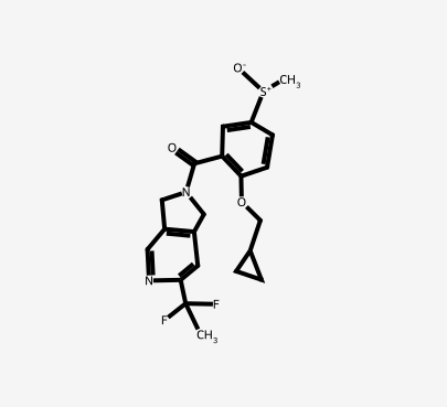 C[S+]([O-])c1ccc(OCC2CC2)c(C(=O)N2Cc3cnc(C(C)(F)F)cc3C2)c1